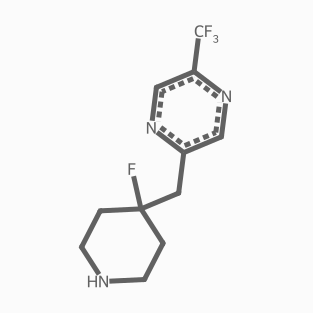 FC1(Cc2cnc(C(F)(F)F)cn2)CCNCC1